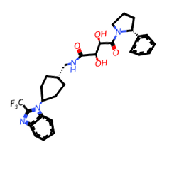 O=C(NC[C@H]1CC[C@H](n2c(C(F)(F)F)nc3ccccc32)CC1)[C@H](O)[C@@H](O)C(=O)N1CCC[C@@H]1c1ccccc1